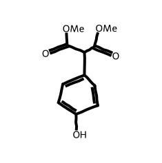 COC(=O)C(C(=O)OC)c1ccc(O)cc1